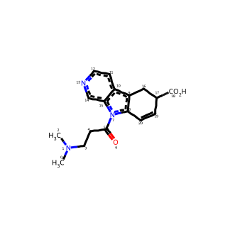 CN(C)CCC(=O)n1c2c(c3ccncc31)CC(C(=O)O)C=C2